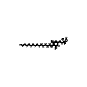 CCCCCCCCCCCCCCCSc1c(F)cc(CCC(F)(F)OC)cc1F